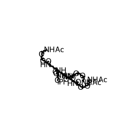 CC(=O)NCCC(C)(C)OCCC(C)(C)OCCC(=O)NCCCCCC(=O)N[C@@H](CCCCNC(=O)C(CCCCNC(=O)CCOC(C)(C)CCOC(C)(C)CCNC(C)=O)NC(=O)CCOC(C)(C)CCOC(C)(C)CCNC(C)=O)C(=O)NCCOC(C)C